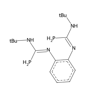 CC(C)(C)N/C(P)=N/c1ccccc1/N=C(\P)NC(C)(C)C